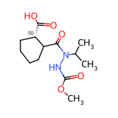 COC(=O)NN(C(=O)C1CCCC[C@@H]1C(=O)O)C(C)C